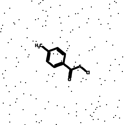 Cc1ccc(C(=O)SCl)cc1